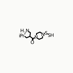 CC(C)CC(CN)C(=O)N1CCN(SS)CC1